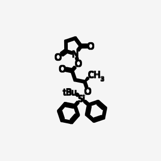 C[C@H](CC(=O)ON1C(=O)CCC1=O)O[Si](c1ccccc1)(c1ccccc1)C(C)(C)C